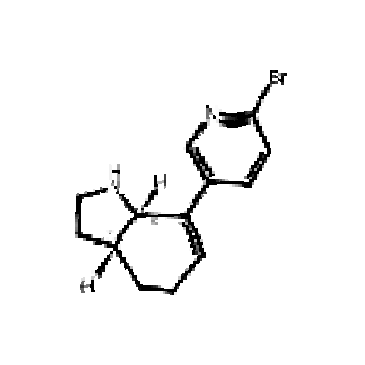 Brc1ccc(C2=CCC[C@@H]3CCN[C@H]23)cn1